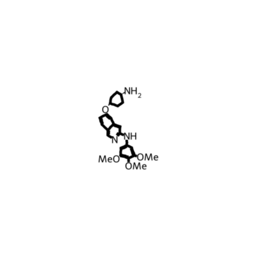 COc1cc(Nc2cc3cc(O[C@H]4CC[C@@H](N)CC4)ccc3cn2)cc(OC)c1OC